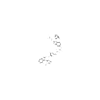 COC(=O)CSc1nc2cc(CC(C)(C)OC(=O)Nc3nc(CSc4nc5ccccc5n4-c4nnnn4C)cs3)ccc2n1-c1nnnn1C